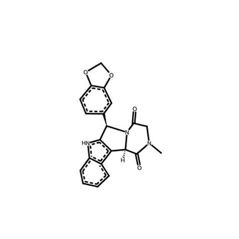 CN1CC(=O)N2[C@H](c3ccc4c(c3)OCO4)c3[nH]c4ccccc4c3[C@@H]2C1=O